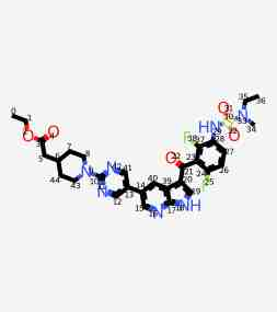 CCOC(=O)CC1CCN(c2ncc(-c3cnc4[nH]cc(C(=O)c5c(F)ccc(NS(=O)(=O)N(C)CC)c5F)c4c3)cn2)CC1